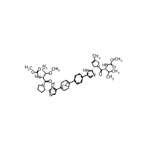 COC(=O)N[C@H](C(=O)N1CC(C)=C[C@H]1c1ncc(-c2ccc(C34CCC(c5cnc([C@@H]6CCCN6C(=O)[C@@H](NC(=O)OC)[C@@H](C)OC)[nH]5)(CC3)CC4)cc2)[nH]1)C(C)C